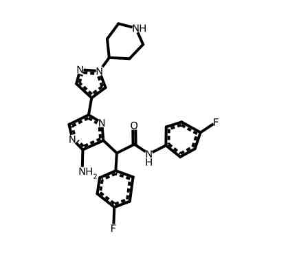 Nc1ncc(-c2cnn(C3CCNCC3)c2)nc1C(C(=O)Nc1ccc(F)cc1)c1ccc(F)cc1